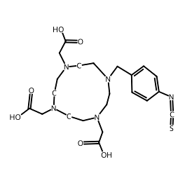 O=C(O)CN1CCN(CC(=O)O)CCN(Cc2ccc(N=C=S)cc2)CCN(CC(=O)O)CC1